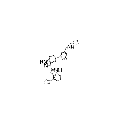 C1=CC(c2cccc3[nH]c(-c4n[nH]c5ccc(-c6cncc(CNCC7CCCC7)c6)cc45)cc23)=CC1